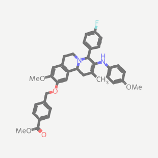 COC(=O)c1ccc(COc2cc3c(cc2OC)CCN2C3CC(C)=C(Nc3ccc(OC)cc3)C2c2ccc(F)cc2)cc1